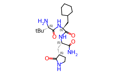 CC(C)(C)[C@H](N)C(=O)N[C@@H](CC1CCCCC1)C(=O)N[C@@H](C[C@@H]1CCNC1=O)C(N)=O